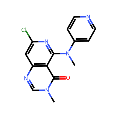 CN(c1ccncc1)c1nc(Cl)cc2ncn(C)c(=O)c12